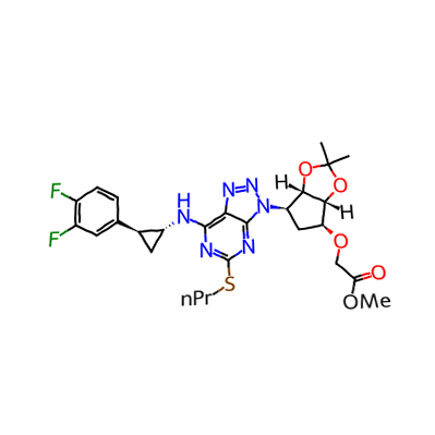 CCCSc1nc(N[C@@H]2C[C@H]2c2ccc(F)c(F)c2)c2nnn([C@@H]3C[C@H](OCC(=O)OC)[C@H]4OC(C)(C)O[C@H]43)c2n1